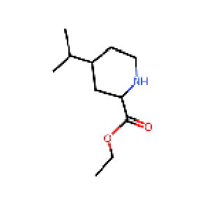 CCOC(=O)C1CC(C(C)C)CCN1